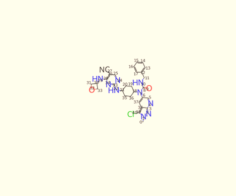 Cn1nc2ncc(N(C(=O)NCc3ccccc3)C3CCC(Nc4ncc(C#N)c(NC5COC5)n4)CC3)cc2c1Cl